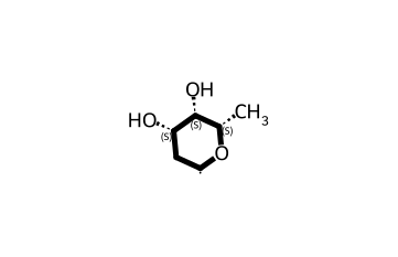 C[C@@H]1O[CH]C[C@H](O)[C@@H]1O